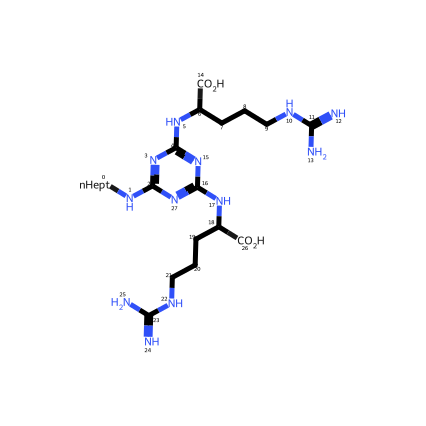 CCCCCCCNc1nc(NC(CCCNC(=N)N)C(=O)O)nc(NC(CCCNC(=N)N)C(=O)O)n1